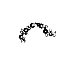 COC1=CC2=NN(C3CCN(CC4CC5(CCN(C(=O)c6ccc(Cl)c(N7CCC(=O)NC7=O)c6)CC5)C4)CC3)CC2C=C1NC(=O)c1cccc(C(F)(F)F)n1